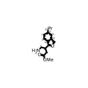 COC(=O)CC(CN)c1occ2cc(C(C)C)ccc12